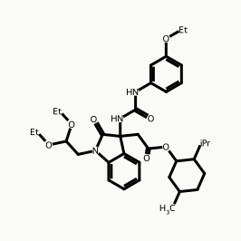 CCOc1cccc(NC(=O)NC2(CC(=O)OC3CC(C)CCC3C(C)C)C(=O)N(CC(OCC)OCC)c3ccccc32)c1